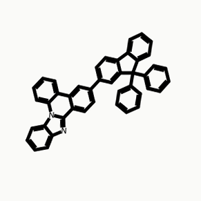 c1ccc(C2(c3ccccc3)c3ccccc3-c3ccc(-c4ccc5c(c4)c4ccccc4n4c6ccccc6nc54)cc32)cc1